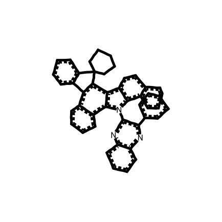 c1ccc(-c2nc3ccccc3nc2-n2c3c4ccccc4ccc3c3c4c(c5ccccc5c32)-c2ccccc2C42CCCCC2)cc1